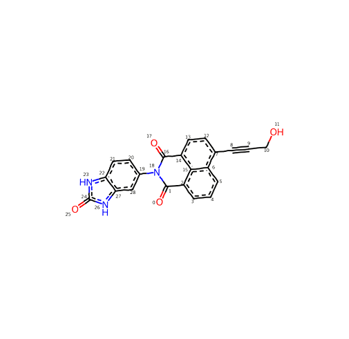 O=C1c2cccc3c(C#CCO)ccc(c23)C(=O)N1c1ccc2[nH]c(=O)[nH]c2c1